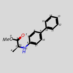 COC(=O)[C@H](C)Nc1ccc(-c2ccccc2)cc1